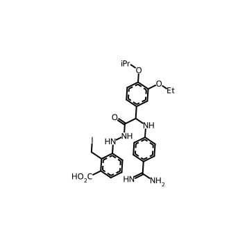 CCOc1cc(C(Nc2ccc(C(=N)N)cc2)C(=O)NNc2cccc(C(=O)O)c2CI)ccc1OC(C)C